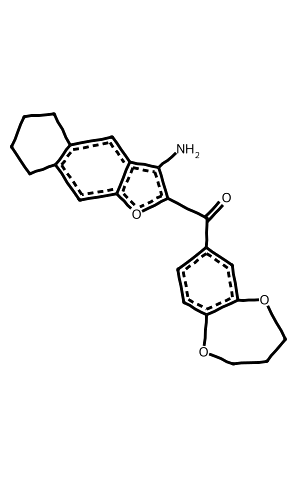 Nc1c(C(=O)c2ccc3c(c2)OCCCO3)oc2cc3c(cc12)CCCC3